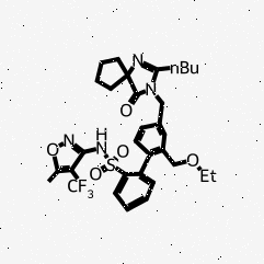 CCCCC1=NC2(CCCC2)C(=O)N1Cc1ccc(-c2ccccc2S(=O)(=O)Nc2noc(C)c2C(F)(F)F)c(COCC)c1